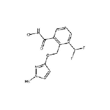 O=C(NCl)c1cccc(C(F)F)c1COc1ccn(S)n1